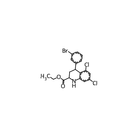 CCOC(=O)C1CC(c2cccc(Br)c2)c2c(Cl)cc(Cl)cc2N1